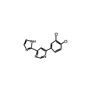 Clc1ccc(-c2cc(-c3ncc[nH]3)ncn2)cc1Cl